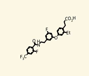 CCc1cc(Oc2cc(F)cc(CCNC(=O)c3ccc(C(F)(F)F)cc3F)c2)ccc1CCC(=O)O